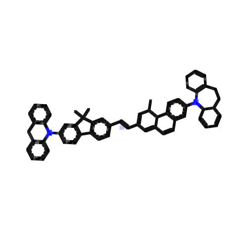 CC1C=C(/C=C/c2ccc3c(c2)C(C)(C)c2cc(N4c5ccccc5Cc5ccccc54)ccc2-3)C=C2C=Cc3cc(N4C5=C(C=CCC5)CCC5C=CC=CC54)ccc3C21